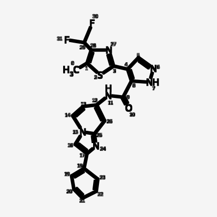 Cc1sc(-c2cn[nH]c2C(=O)Nc2ccn3cc(-c4ccccc4)nc3c2)nc1C(F)F